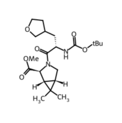 COC(=O)[C@@H]1[C@@H]2[C@H](CN1C(=O)[C@H](CC1CCOC1)NC(=O)OC(C)(C)C)C2(C)C